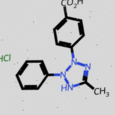 CC1=NN(c2ccc(C(=O)O)cc2)N(c2ccccc2)N1.Cl